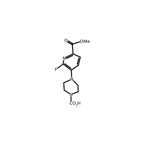 COC(=O)c1ccc(N2CCN(C(=O)O)CC2)c(F)n1